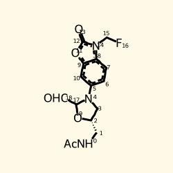 CC(=O)NC[C@H]1CN(c2ccc3c(c2)oc(=O)n3CF)C(C=O)O1